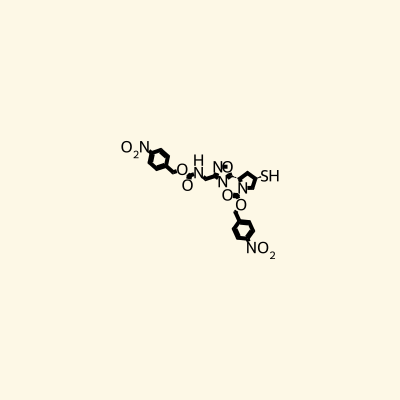 O=C(NCc1noc([C@@H]2C[C@H](S)CN2C(=O)OCc2ccc([N+](=O)[O-])cc2)n1)OCc1ccc([N+](=O)[O-])cc1